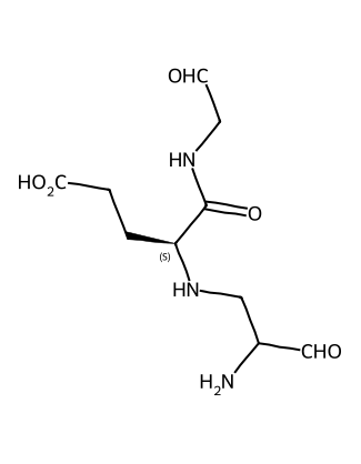 NC(C=O)CN[C@@H](CCC(=O)O)C(=O)NCC=O